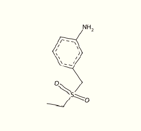 CCS(=O)(=O)Cc1cccc(N)c1